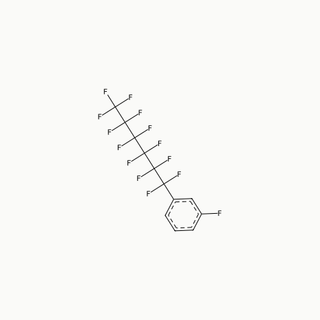 Fc1cccc(C(F)(F)C(F)(F)C(F)(F)C(F)(F)C(F)(F)C(F)(F)F)c1